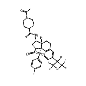 CC(=O)N1CCC(C(=O)N[C@@H]2CC(C=O)[C@]3(S(=O)(=O)c4ccc(F)cc4)c4ccc(C(F)(C(F)(F)F)C(F)(F)F)cc4CC[C@@H]23)CC1